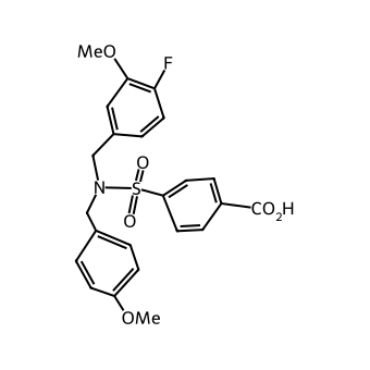 COc1ccc(CN(Cc2ccc(F)c(OC)c2)S(=O)(=O)c2ccc(C(=O)O)cc2)cc1